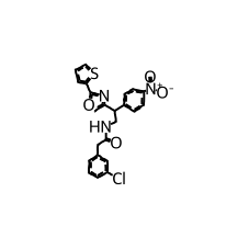 O=C(Cc1cccc(Cl)c1)NCC(c1ccc([N+](=O)[O-])cc1)c1coc(-c2cccs2)n1